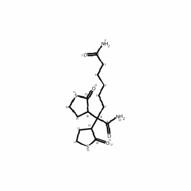 NC(=O)CCCCCC(C(N)=O)(C1CCSC1=O)C1CCSC1=O